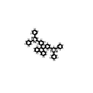 c1ccc(-c2cc(-c3cccc(-c4c(-c5cccc(-c6cc(-c7ccccc7)nc(-c7ccccc7)n6)c5)c5ccccc5c5ccccc45)c3)nc(-c3ccccc3)n2)cc1